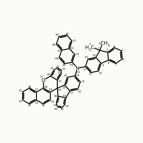 CC1(C)c2ccccc2-c2ccc(N(c3ccc4c(c3)C3(c5ccccc5Oc5c3ccc3ccccc53)c3ccccc3-4)c3ccc4ccccc4c3)cc21